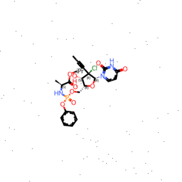 CC#C[C@@]1(Cl)[C@@H](O)[C@@H](COP(=O)(N[C@@H](C)C(=O)OC(C)C)Oc2ccccc2)O[C@H]1n1ccc(=O)[nH]c1=O